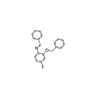 Fc1ccc(N=Cc2ccccc2)c(OCc2ccccc2)c1